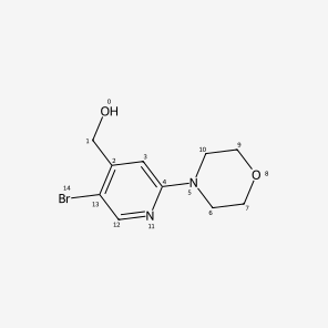 OCc1cc(N2CCOCC2)ncc1Br